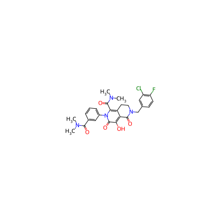 CN(C)C(=O)c1cccc(-n2c(C(=O)N(C)C)c3c(c(O)c2=O)C(=O)N(Cc2ccc(F)c(Cl)c2)CC3)c1